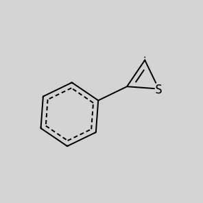 [C]1=C(c2ccccc2)S1